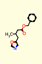 CC(CC(=O)OCc1ccccc1)Cc1cnco1